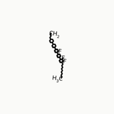 C=CCCC1CCC(C2CC=C(c3ccc(-c4ccc(-c5ccc(CCCCCCCCCC)c(F)c5F)cc4)c(F)c3)CC2)CC1